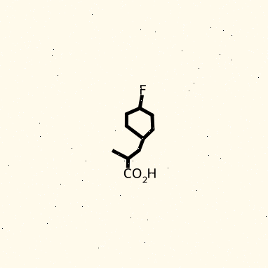 CC(CC1CCC(F)CC1)C(=O)O